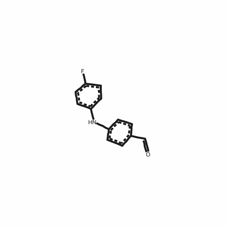 O=Cc1ccc(Nc2ccc(F)cc2)cc1